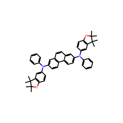 CC1(C)Oc2ccc(N(c3ccccc3)c3ccc4c(ccc5cc(N(c6ccccc6)c6ccc7c(c6)C(C)(C)C(C)(C)O7)ccc54)c3)cc2C1(C)C